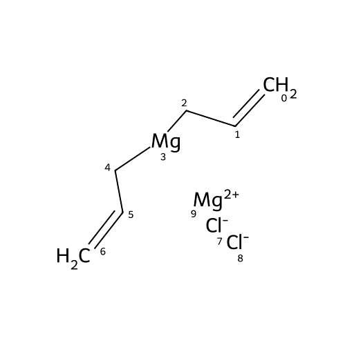 C=C[CH2][Mg][CH2]C=C.[Cl-].[Cl-].[Mg+2]